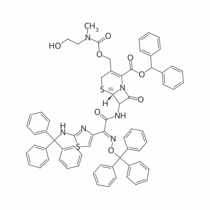 CN(CCO)C(=O)OCC1=C(C(=O)OC(c2ccccc2)c2ccccc2)N2C(=O)C(NC(=O)C(=NOC(c3ccccc3)(c3ccccc3)c3ccccc3)c3csc(NC(c4ccccc4)(c4ccccc4)c4ccccc4)n3)[C@@H]2SC1